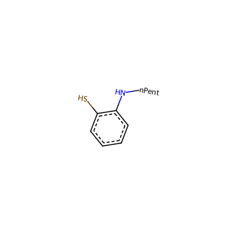 CCCCCNc1ccccc1S